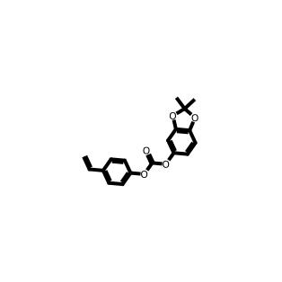 C=Cc1ccc(OC(=O)Oc2ccc3c(c2)OC(C)(C)O3)cc1